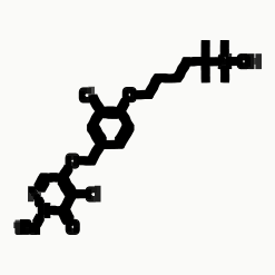 CC(C)(C)n1ncc(OCc2ccc(OCCCCC(C)(C)[Si](C)(C)O)c(Cl)c2)c(Cl)c1=O